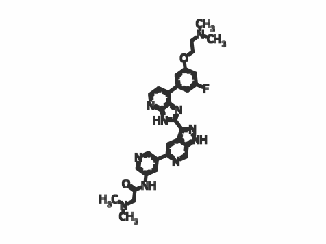 CN(C)CCOc1cc(F)cc(-c2ccnc3[nH]c(-c4n[nH]c5cnc(-c6cncc(NC(=O)CN(C)C)c6)cc45)nc23)c1